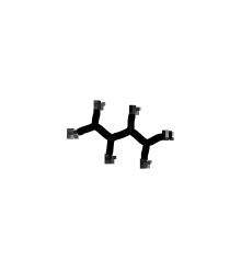 [CH2]CC(Br)C(Br)C(Br)C(Br)C[CH2]